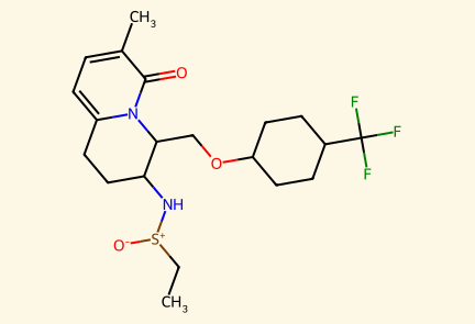 CC[S+]([O-])NC1CCc2ccc(C)c(=O)n2C1COC1CCC(C(F)(F)F)CC1